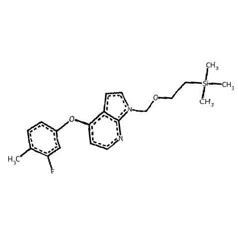 Cc1ccc(Oc2ccnc3c2ccn3COCC[Si](C)(C)C)cc1F